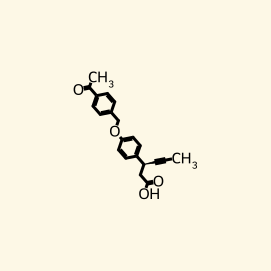 CC#C[C@@H](CC(=O)O)c1ccc(OCc2ccc(C(C)=O)cc2)cc1